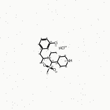 CCN(C(C)Cc1cccc(Cl)c1)C(C1CCNCC1)S(C)(=O)=O.Cl